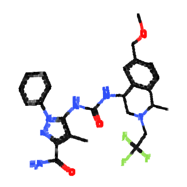 COCc1ccc2c(c1)C(NC(=O)Nc1c(C)c(C(N)=O)nn1-c1ccccc1)CN(CC(F)(F)F)C2C